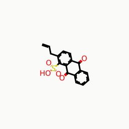 C=CCc1ccc2c(c1S(=O)(=O)O)C(=O)c1ccccc1C2=O